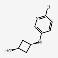 O[C@H]1C[C@@H](Nc2ccc(Cl)nn2)C1